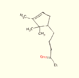 CCC(=O)CCCC1CC=C(C)C1(C)C